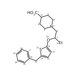 CCC(CN1CCC(C(=O)O)CC1)Oc1ccc(Cc2ccccc2)s1